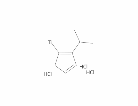 CC(C)C1=[C]([Ti])CC=C1.Cl.Cl.Cl